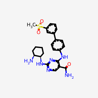 CS(=O)(=O)c1cccc(-c2ccc(Nc3nc(N[C@@H]4CCCC[C@@H]4N)ncc3C(N)=O)cc2)c1